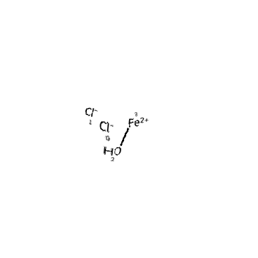 [Cl-].[Cl-].[OH][Fe+2]